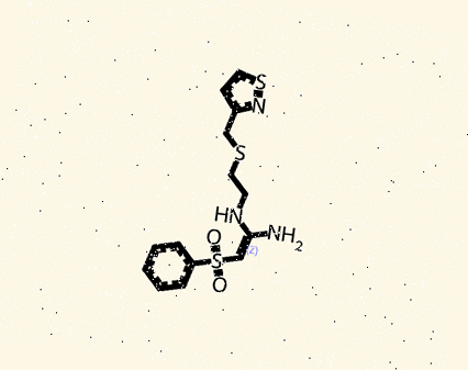 N/C(=C/S(=O)(=O)c1ccccc1)NCCSCc1ccsn1